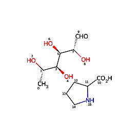 C[C@H](O)[C@H](O)[C@@H](O)[C@@H](O)C=O.O=C(O)C1CCCN1